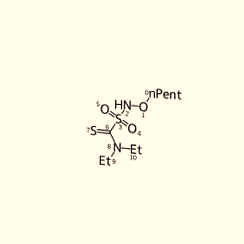 CCCCCONS(=O)(=O)C(=S)N(CC)CC